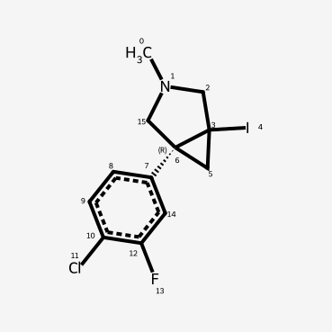 CN1CC2(I)C[C@@]2(c2ccc(Cl)c(F)c2)C1